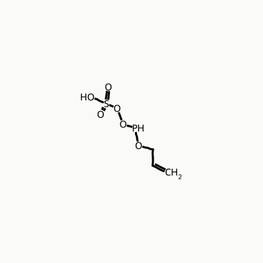 C=CCOPOOS(=O)(=O)O